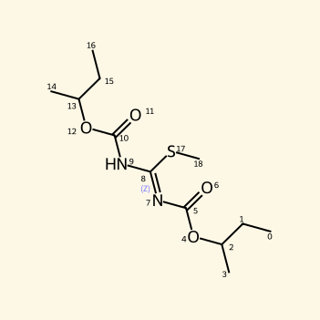 CCC(C)OC(=O)/N=C(/NC(=O)OC(C)CC)SC